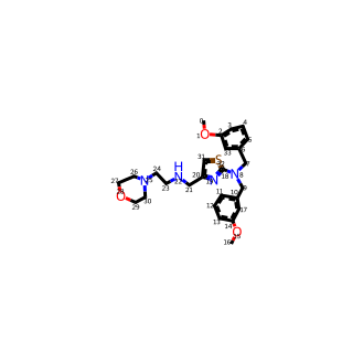 COc1cccc(CN(Cc2cccc(OC)c2)c2nc(CNCCN3CCOCC3)cs2)c1